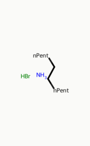 Br.N.[CH2]CCCCCCCCCCC